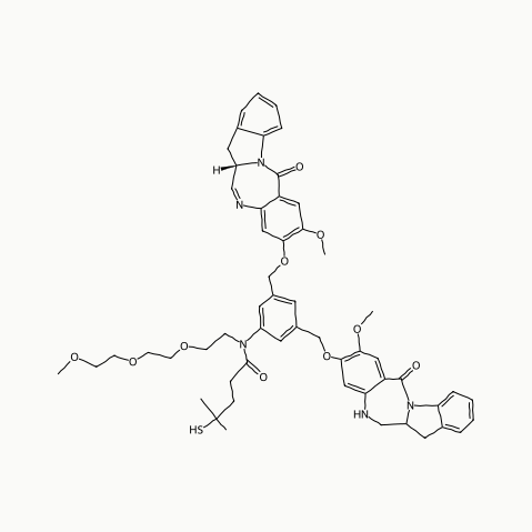 COCCOCCOCCN(C(=O)CCC(C)(C)S)c1cc(COc2cc3c(cc2OC)C(=O)N2c4ccccc4C[C@H]2C=N3)cc(COc2cc3c(cc2OC)C(=O)N2c4ccccc4CC2CN3)c1